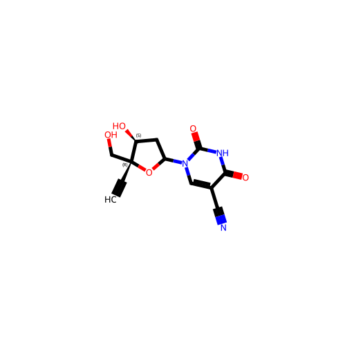 C#C[C@]1(CO)OC(n2cc(C#N)c(=O)[nH]c2=O)C[C@@H]1O